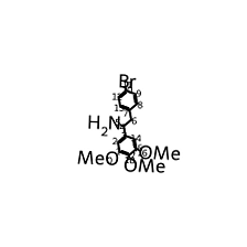 COc1cc(C(N)Cc2ccc(Br)cc2)cc(OC)c1OC